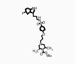 CC1CN(CCCOc2ccc(S(=O)(=O)NCCCc3c[nH]c4ccc(F)cc34)cc2)CC(C)N1C(=O)OC(C)(C)C